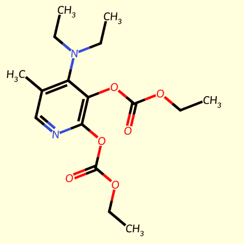 CCOC(=O)Oc1ncc(C)c(N(CC)CC)c1OC(=O)OCC